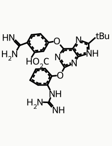 CC(C)(C)c1nc2c(Oc3ccc(C(=N)N)c(C(=O)O)c3)nc(Oc3ccccc3NC(=N)N)nc2[nH]1